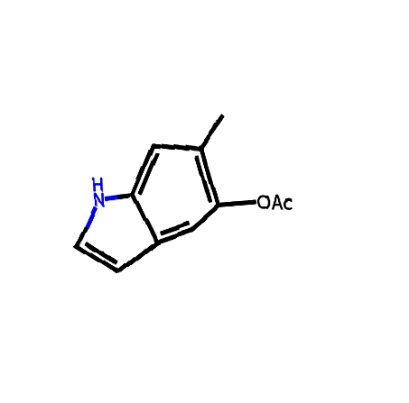 CC(=O)Oc1cc2cc[nH]c2cc1C